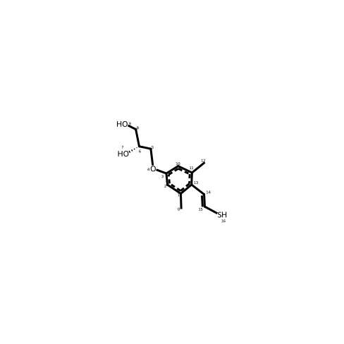 Cc1cc(OC[C@H](O)CO)cc(C)c1/C=C/S